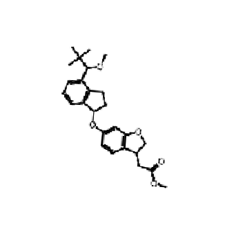 COC(=O)CC1COc2cc(OC3CCc4c3cccc4C(OC)C(C)(C)C)ccc21